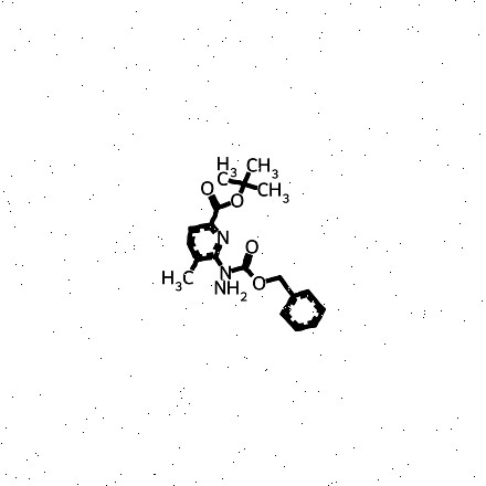 Cc1ccc(C(=O)OC(C)(C)C)nc1N(N)C(=O)OCc1ccccc1